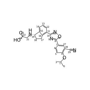 CC(C)Oc1ccc(-c2nc(-c3cccc4c3CC[C@@H]4NCC(=O)O)no2)cc1C#N